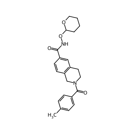 Cc1ccc(C(=O)N2CCc3cc(C(=O)NOC4CCCCO4)ccc3C2)cc1